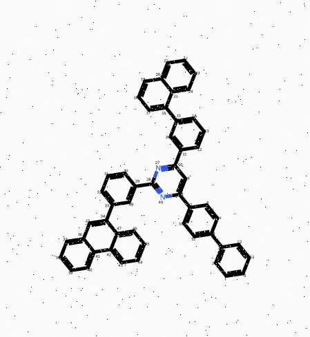 c1ccc(-c2ccc(-c3cc(-c4cccc(-c5cccc6ccccc56)c4)nc(-c4cccc(-c5cc6ccccc6c6ccccc56)c4)n3)cc2)cc1